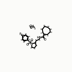 O=C(NCCC1CCCN1S(=O)(=O)c1ccc(F)cc1)[C]1CCCCCCC1.[CH2].[CH2]